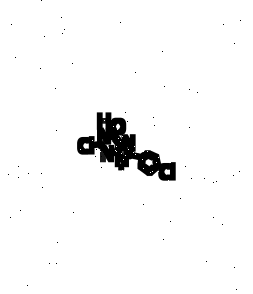 Cn1c(-c2ccc(Cl)cc2)nc2c(=O)[nH]c(Cl)nc21